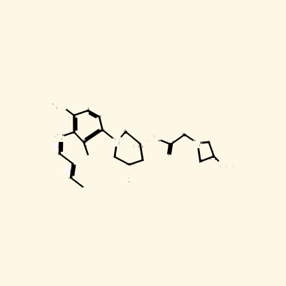 C/C=C/C=N\c1c(C#N)ccc(N2C[C@@H](C)C[C@@H](NC(=O)CN3CC(O)C3)C2)c1C